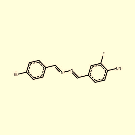 CCc1ccc(C=NN=Cc2ccc(C#N)c(F)c2)cc1